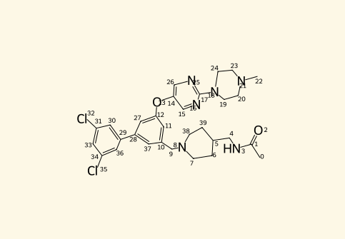 CC(=O)NCC1CCN(Cc2cc(Oc3cnc(N4CCN(C)CC4)nc3)cc(-c3cc(Cl)cc(Cl)c3)c2)CC1